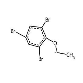 C[CH]Oc1c(Br)cc(Br)cc1Br